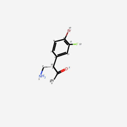 CC(C)C(=O)[C@H](CN)c1ccc(Br)c(F)c1